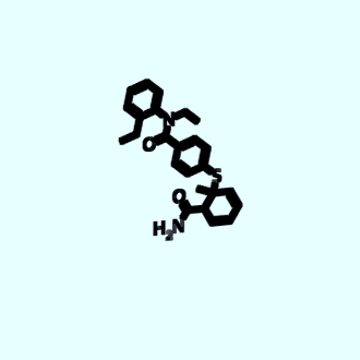 CCc1ccccc1N(CC)C(=O)c1ccc(SC2(C)C=CC=CC2C(N)=O)cc1